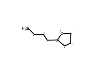 [SiH3]CCCC1CCCO1